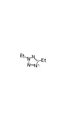 CCC1=NN(CC)N=[N+]1